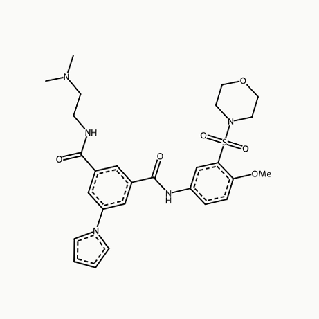 COc1ccc(NC(=O)c2cc(C(=O)NCCN(C)C)cc(-n3cccc3)c2)cc1S(=O)(=O)N1CCOCC1